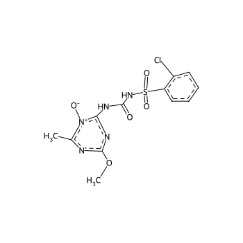 COc1nc(C)[n+]([O-])c(NC(=O)NS(=O)(=O)c2ccccc2Cl)n1